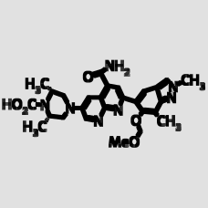 COCOc1c(-c2cc(C(N)=O)c3cc(N4C[C@@H](C)N(C(=O)O)[C@@H](C)C4)cnc3n2)cc2cn(C)nc2c1C